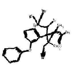 CC1(CC#N)C(C)(C(=O)O)C1(c1cccc(Oc2ccccc2)c1)C(Br)C(Br)(Br)Br